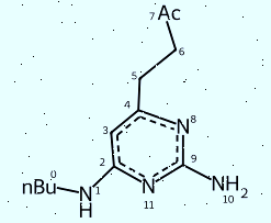 CCCCNc1cc(CCC(C)=O)nc(N)n1